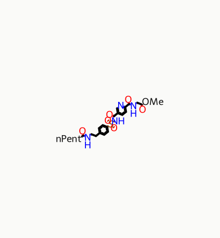 CCCCCC(=O)NCCc1ccc(S(=O)(=O)NC(=O)c2ccc(C(=O)NCC(=O)OC)nc2)cc1